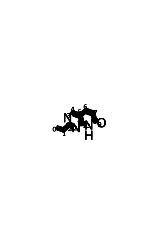 CCc1ncc2ccc(=O)[nH]c2n1